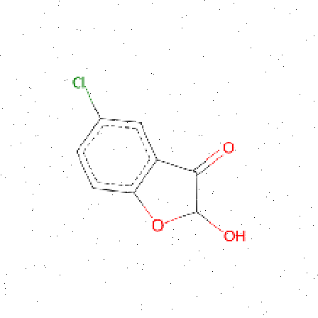 O=C1c2cc(Cl)ccc2OC1O